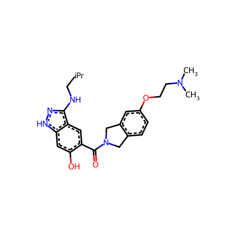 CC(C)CNc1n[nH]c2cc(O)c(C(=O)N3Cc4ccc(OCCN(C)C)cc4C3)cc12